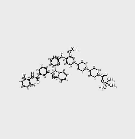 COc1cc(C2CCN(C3CCN(C(=O)OC(C)(C)C)CC3)CC2)ccc1Nc1nccc(C2C(c3cccc(C(=O)Nc4c(F)cccc4F)c3)N=C3C=CC=CN32)n1